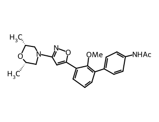 COc1c(-c2ccc(NC(C)=O)cc2)cccc1-c1cc(N2C[C@@H](C)O[C@@H](C)C2)no1